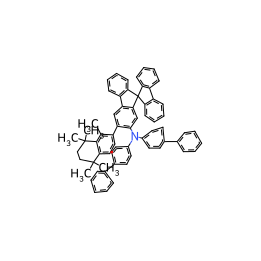 Cc1c(-c2cc3c(cc2N(c2ccc(-c4ccccc4)cc2)c2ccc(-c4ccccc4)cc2)C2(c4ccccc4-c4ccccc42)c2ccccc2-3)ccc2c1C(C)(C)CCC2(C)C